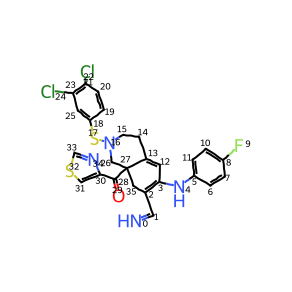 N=CC1=C(Nc2ccc(F)cc2)C=C2CCN(Sc3ccc(Cl)c(Cl)c3)CC2(C(=O)c2cscn2)C1